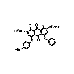 CCCCCc1cc(Sc2ccccc2)c2c(c1O)C(=O)c1c(O)c(CCCCC)cc(Sc3ccc(C(C)(C)C)cc3)c1C2=O